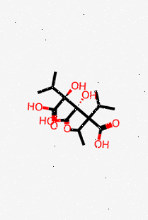 CC(C)C(C(=O)O)(C(C)C)[C@@](O)(C(=O)O)[C@](O)(C(=O)O)C(C)C